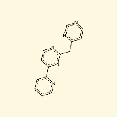 c1cc(Cc2nccc(-c3cnccn3)n2)ncn1